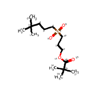 CC(C)(C)CCCS(=O)(=O)CCCOC(=O)C(C)(C)C